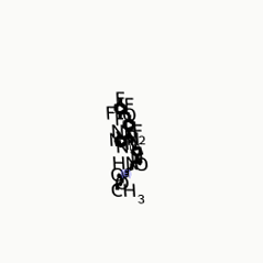 CCOC(=O)/C=C/CNC(=O)N1CC[C@@H](n2nc(-c3ccc(Oc4c(F)c(F)cc(F)c4F)cc3F)c3c(N)ncnc32)C1